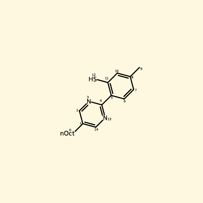 CCCCCCCCc1cnc(-c2ccc(C)cc2S)nc1